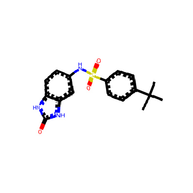 CC(C)(C)c1ccc(S(=O)(=O)Nc2ccc3[nH]c(=O)[nH]c3c2)cc1